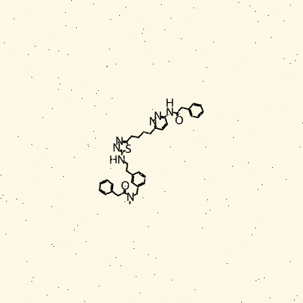 CN(Cc1cccc(CCNc2nnc(CCCCc3ccc(NC(=O)Cc4ccccc4)nn3)s2)c1)C(=O)Cc1ccccc1